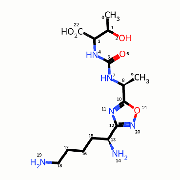 CC(O)C(NC(=O)N[C@@H](C)c1nc([C@@H](N)CCCCN)no1)C(=O)O